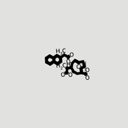 C=C1C(=O)OC2CC3=C[C@@H](C/C(C)=C/[C@@H](OC(=O)[C@@H](C)c4ccc5ccccc5c4)[C@H]12)OC3=O